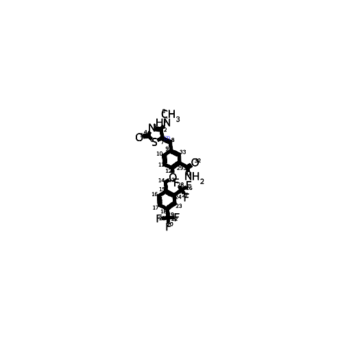 CNC1=NC(=O)S/C1=C\c1ccc(OCc2ccc(C(F)(F)F)cc2C(F)(F)F)c(C(N)=O)c1